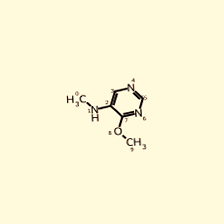 CNc1cn[c]nc1OC